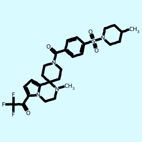 CC1CCN(S(=O)(=O)c2ccc(C(=O)N3CCC4(CC3)c3ccc(C(=O)C(F)(F)F)n3CCN4C)cc2)CC1